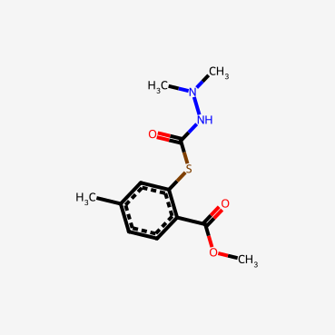 COC(=O)c1ccc(C)cc1SC(=O)NN(C)C